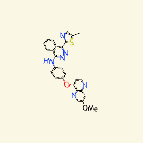 COc1cnc2c(Oc3ccc(Nc4nnc(-c5ncc(C)s5)c5ccccc45)cc3)ccnc2c1